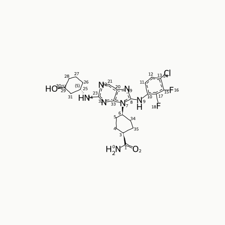 NC(=O)[C@H]1CC[C@@H](n2c(Nc3ccc(Cl)c(F)c3F)nc3cnc(N[C@H]4CCC[C@H](O)C4)nc32)CC1